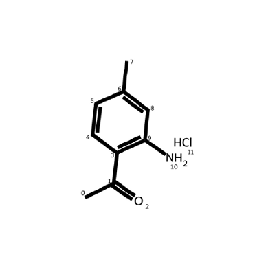 CC(=O)c1ccc(C)cc1N.Cl